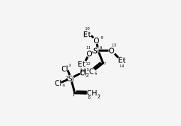 C=C[Si](Cl)(Cl)Cl.C=C[Si](OCC)(OCC)OCC